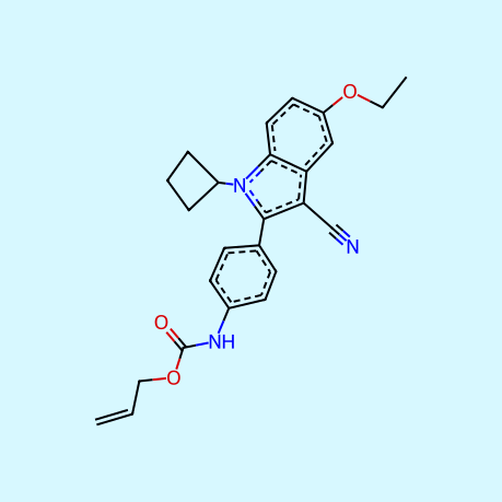 C=CCOC(=O)Nc1ccc(-c2c(C#N)c3cc(OCC)ccc3n2C2CCC2)cc1